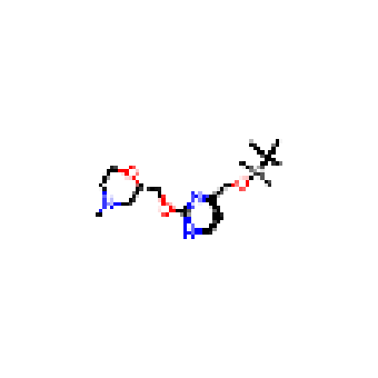 CN1CCO[C@@H](COc2nccc(CO[Si](C)(C)C(C)(C)C)n2)C1